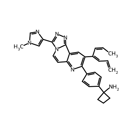 C=C/C=C(\C=C/C)c1cc2c(ccn3c(-c4cn(C)cn4)nnc23)nc1-c1ccc(C2(N)CCC2)cc1